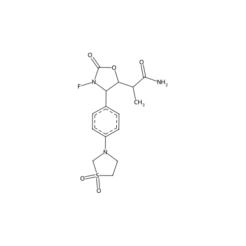 CC(C(N)=O)C1OC(=O)N(F)C1c1ccc(N2CCS(=O)(=O)C2)cc1